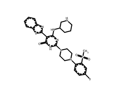 CS(=O)(=O)c1cc(F)ccc1N1CCN(c2nc(NC3CCCNC3)c(-c3nc4ccccc4s3)c(=O)[nH]2)CC1